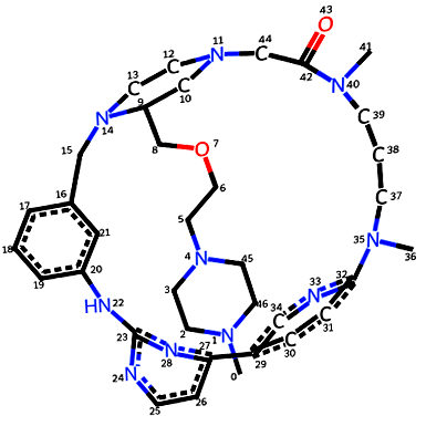 CN1CCN(CCOCC2CN3CCN2Cc2cccc(c2)Nc2nccc(n2)-c2ccc(nc2)N(C)CCCN(C)C(=O)C3)CC1